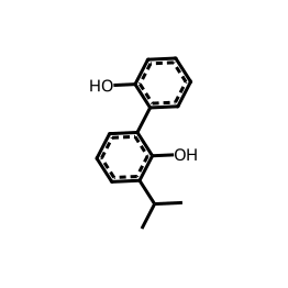 CC(C)c1cccc(-c2ccccc2O)c1O